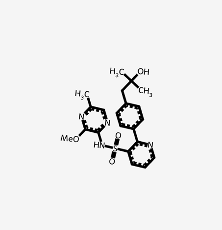 COc1nc(C)cnc1NS(=O)(=O)c1cccnc1-c1ccc(CC(C)(C)O)cc1